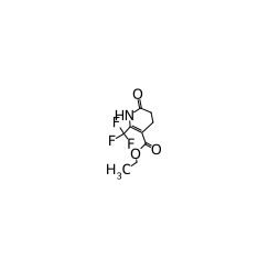 CCOC(=O)C1=C(C(F)(F)F)NC(=O)CC1